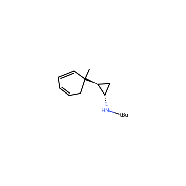 CC(C)(C)N[C@H]1C[C@@H]1C1(C)C=CC=CC1